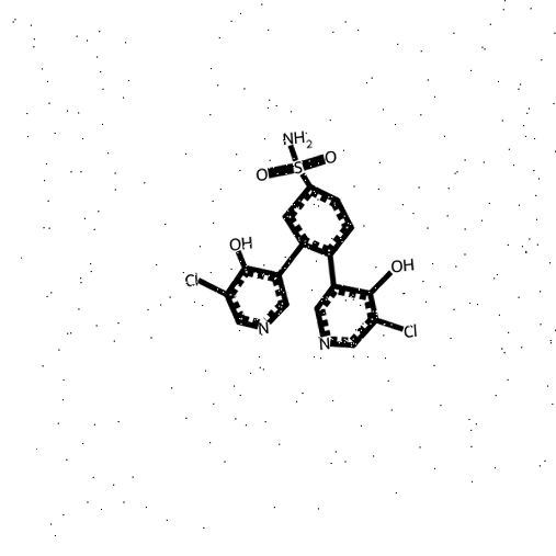 NS(=O)(=O)c1ccc(-c2cncc(Cl)c2O)c(-c2cncc(Cl)c2O)c1